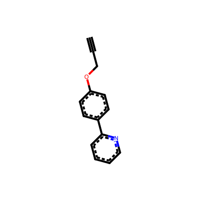 C#CCOc1ccc(-c2ccccn2)cc1